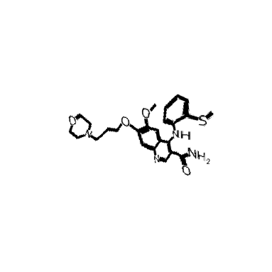 COc1cc2c(Nc3ccccc3SC)c(C(N)=O)cnc2cc1OCCCN1CCOCC1